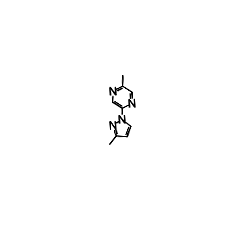 Cc1cnc(-n2ccc(C)n2)cn1